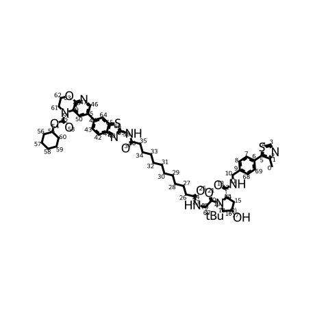 Cc1ncsc1-c1ccc(CNC(=O)[C@@H]2C[C@@H](O)CN2C(=O)[C@@H](NC(=O)CCCCCCCCCCC(=O)Nc2nc3ccc(-c4cnc5c(c4)N(C(=O)OC4CCCCC4)CCO5)cc3s2)C(C)(C)C)cc1